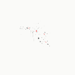 COc1cccc(C(=O)NC2CC3CCC(C2)N3c2ccc(C(=O)NCC3CC3)cn2)c1C